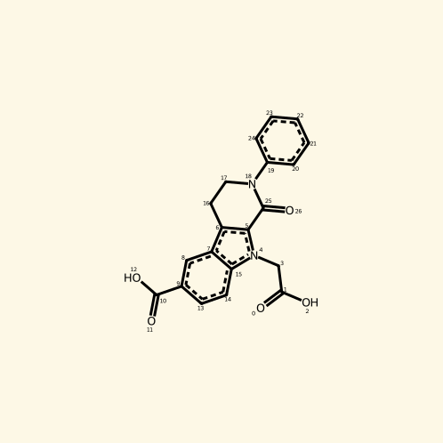 O=C(O)Cn1c2c(c3cc(C(=O)O)ccc31)CCN(c1ccccc1)C2=O